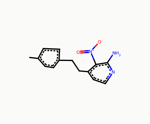 Cc1ccc(CCc2ccnc(N)c2[N+](=O)[O-])cc1